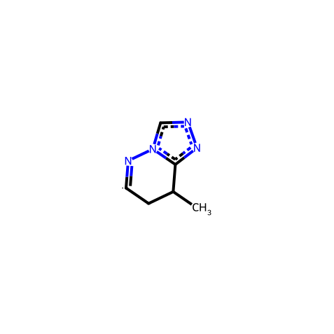 CC1C[C]=Nn2cnnc21